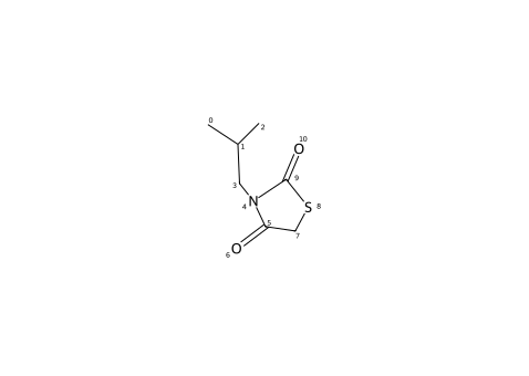 CC(C)CN1C(=O)CSC1=O